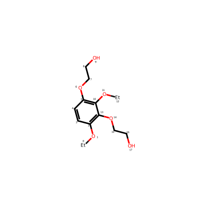 CCOc1ccc(OCCO)c(OCC)c1OCCO